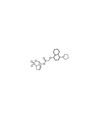 O=C(COc1ccc([S+]2CCCC2)c2ccccc12)OC1C2CC3C1OS(=O)(=O)C3C2